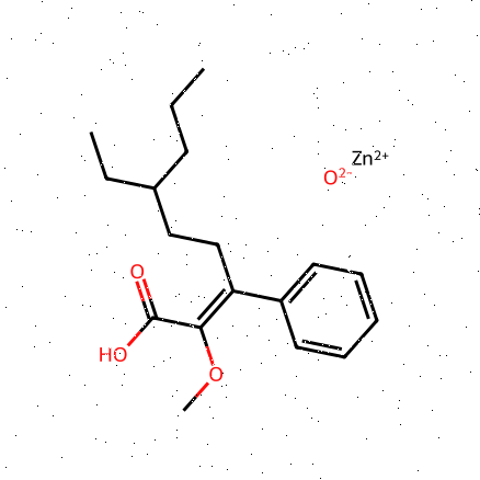 CCCC(CC)CCC(=C(OC)C(=O)O)c1ccccc1.[O-2].[Zn+2]